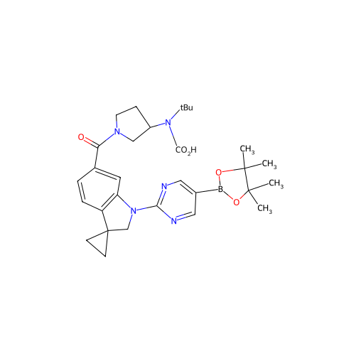 CC(C)(C)N(C(=O)O)C1CCN(C(=O)c2ccc3c(c2)N(c2ncc(B4OC(C)(C)C(C)(C)O4)cn2)CC32CC2)C1